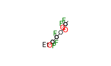 CCOc1ccc(-c2ccc(C3CCC(C(=O)Oc4ccc(C)c(F)c4F)CC3)c(F)c2)c(F)c1F